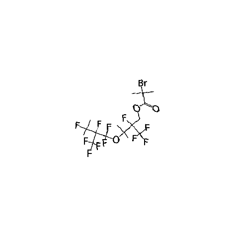 CC(C)(Br)C(=O)OCC(F)(C(F)(F)F)C(C)(C)OC(F)(F)C(F)(C(C)(C)F)C(F)(F)F